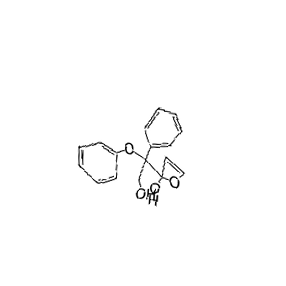 OCC(Oc1ccccc1)(c1ccccc1)C1(O)C=CO1